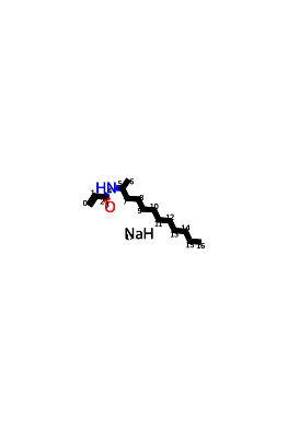 C=CC(=O)N[C](C)CCCCCCCCCC.[NaH]